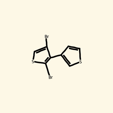 Brc1csc(Br)c1-c1ccsc1